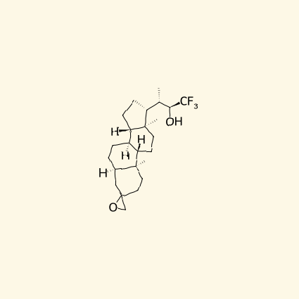 C[C@@H]([C@H]1CC[C@H]2[C@@H]3CC[C@@H]4CC5(CC[C@]4(C)[C@H]3CC[C@]12C)CO5)[C@H](O)C(F)(F)F